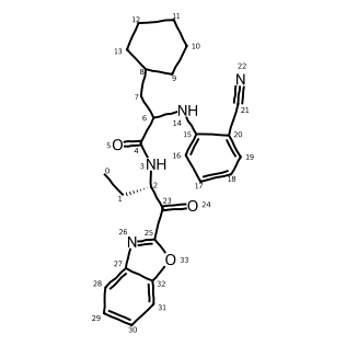 CC[C@H](NC(=O)C(CC1CCCCC1)Nc1ccccc1C#N)C(=O)c1nc2ccccc2o1